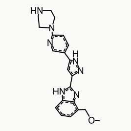 COCc1cccc2[nH]c(-c3cc(-c4ccc(N5CCNCC5)nc4)[nH]n3)nc12